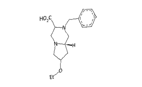 CCOC1C[C@H]2CN(Cc3ccccc3)C(C(=O)O)CN2C1